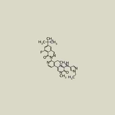 CCc1c(-c2cn(C)c(=O)c(Nc3cnn(CC)c3)n2)ccnc1-n1ncc2cc(C(C)(C)C)cc(F)c2c1=O